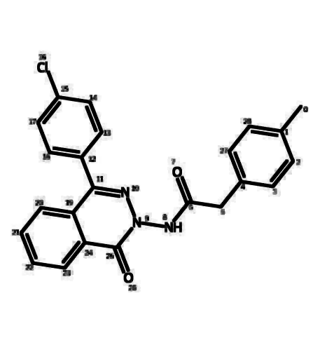 Cc1ccc(CC(=O)Nn2nc(-c3ccc(Cl)cc3)c3ccccc3c2=O)cc1